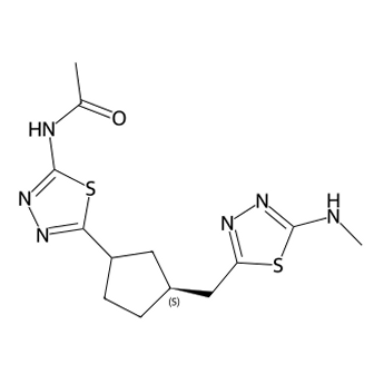 CNc1nnc(C[C@H]2CCC(c3nnc(NC(C)=O)s3)C2)s1